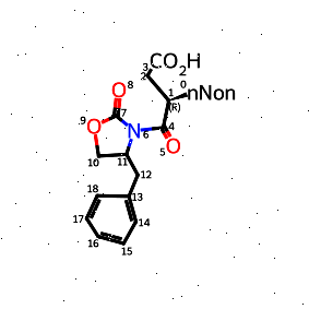 CCCCCCCCC[C@H](CC(=O)O)C(=O)N1C(=O)OCC1Cc1ccccc1